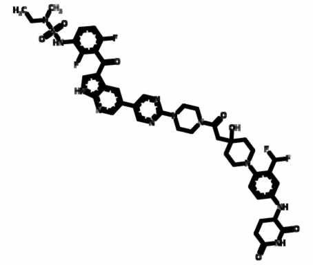 CCN(C)S(=O)(=O)Nc1ccc(F)c(C(=O)c2c[nH]c3ncc(-c4cnc(N5CCN(C(=O)CC6(O)CCN(c7ccc(NC8CCC(=O)NC8=O)cc7C(F)F)CC6)CC5)nc4)cc23)c1F